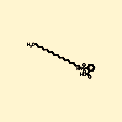 CCCCCCCCCCCCCCCCCCNS(=O)(=O)c1ccccc1C(=O)O